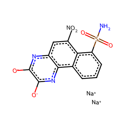 NS(=O)(=O)c1cccc2c1c([N+](=O)[O-])cc1nc([O-])c([O-])nc12.[Na+].[Na+]